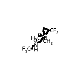 CC(C)(CC(=O)NCCC(F)(F)F)S(=O)(=O)c1cccc(C(F)(F)F)c1